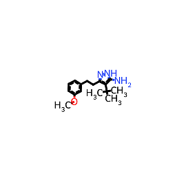 COc1cccc(CCc2n[nH]c(N)c2C(C)(C)C)c1